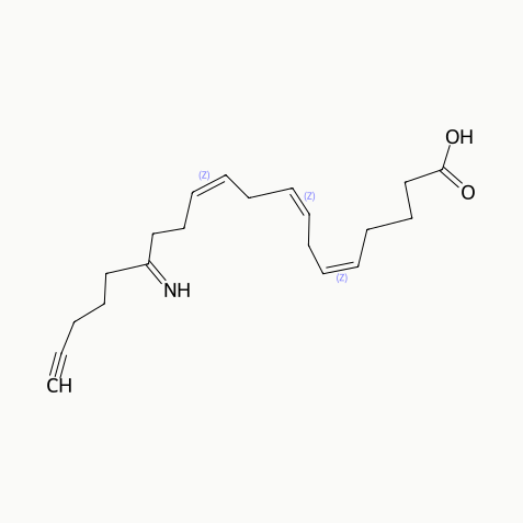 C#CCCCC(=N)CC/C=C\C/C=C\C/C=C\CCCC(=O)O